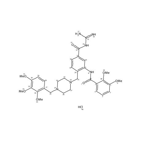 COc1cccc(C(=O)Nc2cc(C(=O)NC(=N)N)ccc2CN2CCN(Cc3ccc(OC)c(OC)c3OC)CC2)c1OC.Cl